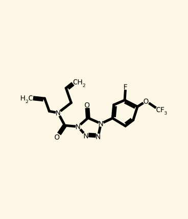 C=CCN(CC=C)C(=O)n1nnn(-c2ccc(OC(F)(F)F)c(F)c2)c1=O